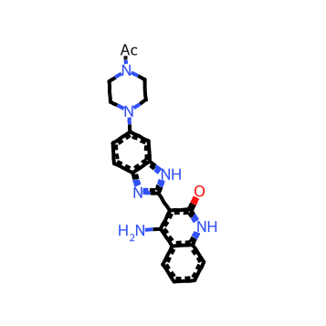 CC(=O)N1CCN(c2ccc3nc(-c4c(N)c5ccccc5[nH]c4=O)[nH]c3c2)CC1